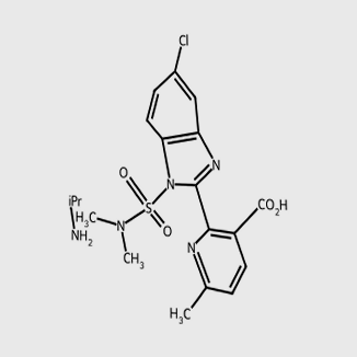 CC(C)N.Cc1ccc(C(=O)O)c(-c2nc3cc(Cl)ccc3n2S(=O)(=O)N(C)C)n1